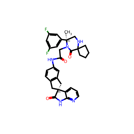 C[C@]1(c2cc(F)cc(F)c2)CNC2(CCCC2)C(=O)N1CC(=O)Nc1ccc2c(c1)C[C@@]1(C2)C(=O)Nc2ncccc21